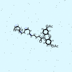 CCCCC/C=C\C/C=C\C/C=C\C/C=C\CCCC(=O)N1c2ccc(OC(C)=O)cc2Oc2cc(OC(C)=O)ccc21